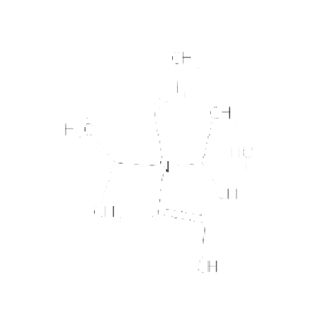 CC=C[N+](C=CC)(C(C)C)C(C)C.[OH-]